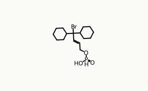 O=[PH](O)OCC=CC(Br)(C1CCCCC1)C1CCCCC1